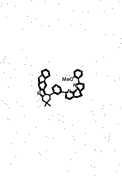 COc1ccccc1-c1ccc2ccc3ccc(-c4cccc(C5CC(C)(C)CC6=Nc7cc8c(cc7=C65)-c5ccccc5C=8)c4)nc3c2n1